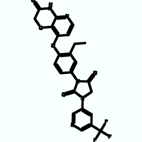 CCc1cc(N2C(=O)CN(c3cncc(C(F)(F)F)c3)C2=O)ccc1Oc1ccnc2c1OCC(=O)N2